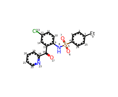 CCc1ccc(S(=O)(=O)Nc2ccc(Cl)cc2C(=O)c2ccccn2)cc1